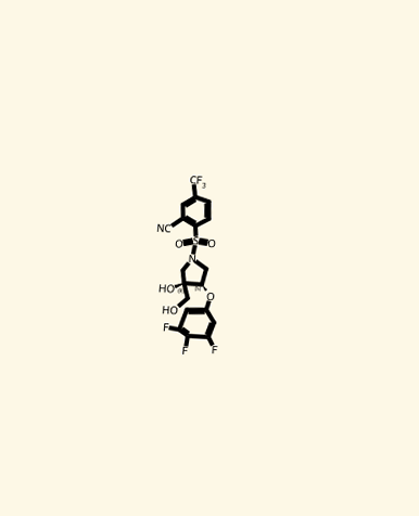 N#Cc1cc(C(F)(F)F)ccc1S(=O)(=O)N1C[C@H](Oc2cc(F)c(F)c(F)c2)[C@](O)(CO)C1